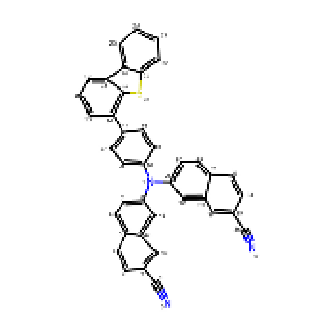 N#Cc1ccc2ccc(N(c3ccc(-c4cccc5c4sc4ccccc45)cc3)c3ccc4ccc(C#N)cc4c3)cc2c1